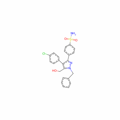 NS(=O)(=O)c1ccc(-c2nn(Cc3ccccc3)c(CO)c2-c2ccc(Cl)cc2)cc1